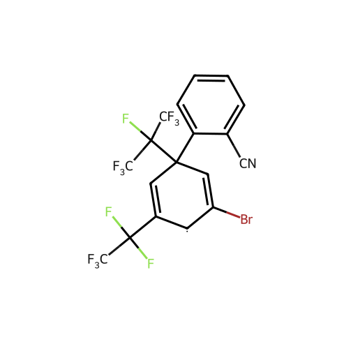 N#Cc1ccccc1C1(C(F)(C(F)(F)F)C(F)(F)F)C=C(Br)[CH]C(C(F)(F)C(F)(F)F)=C1